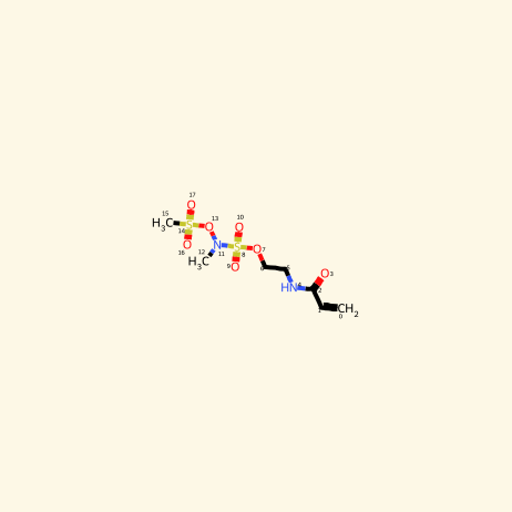 C=CC(=O)NCCOS(=O)(=O)N(C)OS(C)(=O)=O